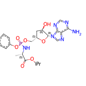 CC(C)OC(=O)[C@H](C)NP(=O)(OC[C@@H]1C[C@@H](O)[C@H](n2cnc3c(N)ncnc32)O1)Oc1ccccc1